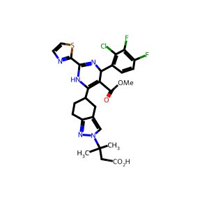 COC(=O)C1=C(C2CCc3nn(C(C)(C)CC(=O)O)cc3C2)NC(c2nccs2)=NC1c1ccc(F)c(F)c1Cl